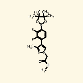 COC(=O)Cn1cc(-c2ccc(B3OC(C)(C)C(C)(C)O3)c(F)c2F)c(C)n1